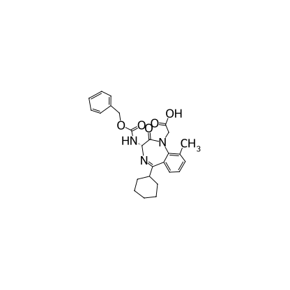 Cc1cccc2c1N(CC(=O)O)C(=O)[C@@H](NC(=O)OCc1ccccc1)N=C2C1CCCCC1